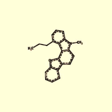 CCCc1cccc2c1c1c3oc4ccccc4c3ccc1n2C